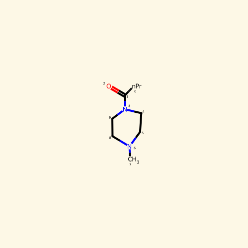 [CH2]CCC(=O)N1CCN(C)CC1